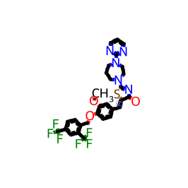 COc1cc(/C=C2\SC(N3CCCN(c4ncccn4)CC3)=NC2=O)ccc1OCc1ccc(C(F)(F)F)cc1C(F)(F)F